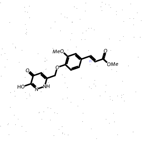 COC(=O)/C=C/c1ccc(OCc2cc(=O)c(O)n[nH]2)c(OC)c1